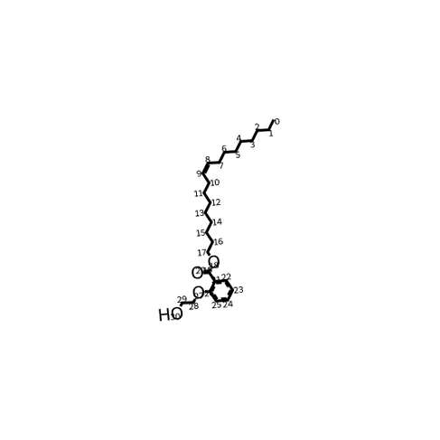 CCCCCCCC/C=C\CCCCCCCCOC(=O)c1ccccc1OCCO